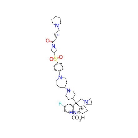 O=C(O)N[C@H]1CCC[C@@H]1C(CN1CCC1)(c1cccc(F)c1)C1CCN(C2CCCN(c3ccc(S(=O)(=O)C4CN(C(=O)/C=C/CN5CCCCC5)C4)cc3)CC2)CC1